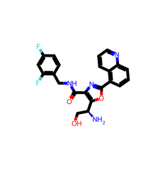 N[C@@H](CO)c1oc(-c2cccc3ncccc23)nc1C(=O)NCc1ccc(F)cc1F